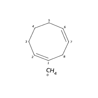 C.C1=CCCCC=CC1